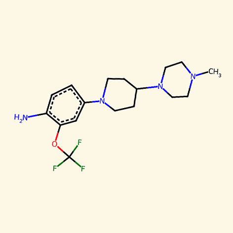 CN1CCN(C2CCN(c3ccc(N)c(OC(F)(F)F)c3)CC2)CC1